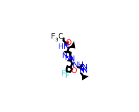 O=C(CCC(F)(F)F)N[C@@H](c1cnn2cc([C@@H](NC(=O)c3cnnn3CC3CC3)C3CCC(F)(F)CC3)nc2c1)C1CC1